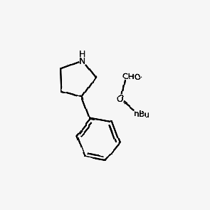 CCCCO[C]=O.c1ccc(C2CCNC2)cc1